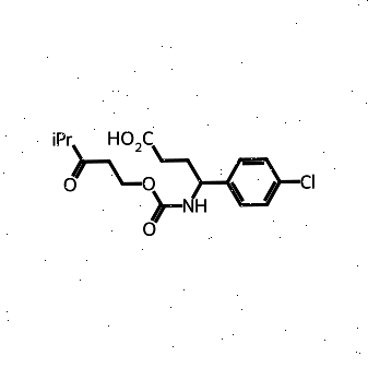 CC(C)C(=O)CCOC(=O)NC(CCC(=O)O)c1ccc(Cl)cc1